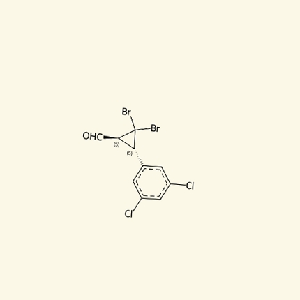 O=C[C@@H]1[C@@H](c2cc(Cl)cc(Cl)c2)C1(Br)Br